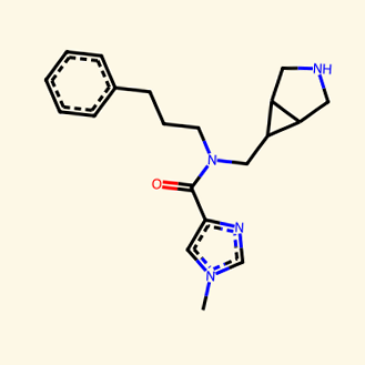 Cn1cnc(C(=O)N(CCCc2ccccc2)CC2C3CNCC32)c1